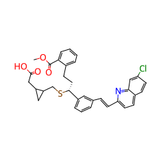 COC(=O)c1ccccc1CC[C@@H](SCC1CC1CC(=O)O)c1cccc(C=Cc2ccc3ccc(Cl)cc3n2)c1